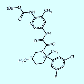 Cc1cc(NC(=O)C(=O)N2C[C@@H](C)CC[C@@]2(C)c2cc(F)cc(Cl)c2)cnc1NC(=O)OC(C)(C)C